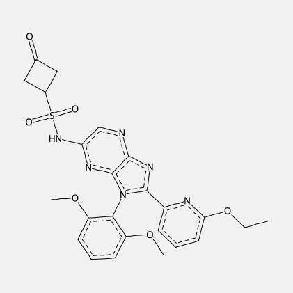 CCOc1cccc(-c2nc3ncc(NS(=O)(=O)C4CC(=O)C4)nc3n2-c2c(OC)cccc2OC)n1